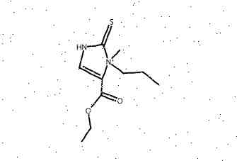 CCC[N+]1(C)C(=S)NC=C1C(=O)OCC